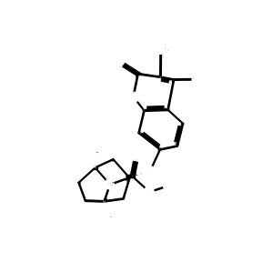 Cc1c(C#N)c(=O)oc2cc(O[C@@H]3C[C@H]4CC[C@@H](C3)N4C(=O)OC(C)(C)C)ccc12